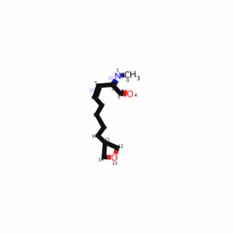 C/N=C(C=O)/C=C\CCCCC1COC1